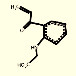 C=CC(=O)c1ccccc1NCC(=O)O